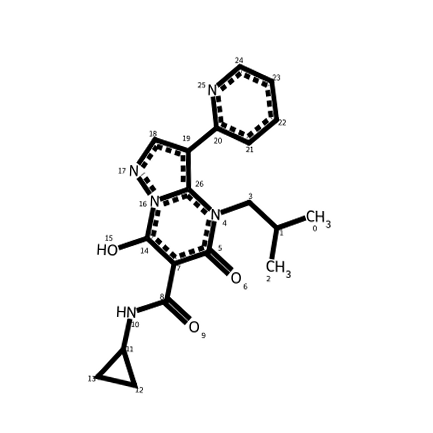 CC(C)Cn1c(=O)c(C(=O)NC2CC2)c(O)n2ncc(-c3ccccn3)c12